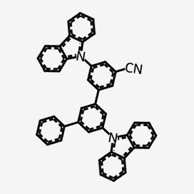 N#Cc1cc(-c2cc(-c3ccccc3)cc(-n3c4ccccc4c4ccccc43)c2)cc(-n2c3ccccc3c3ccccc32)c1